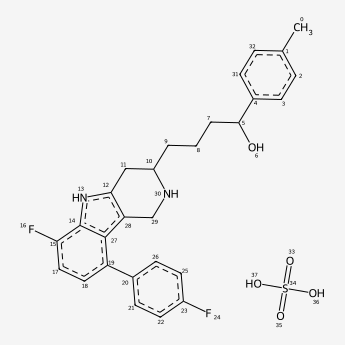 Cc1ccc(C(O)CCCC2Cc3[nH]c4c(F)ccc(-c5ccc(F)cc5)c4c3CN2)cc1.O=S(=O)(O)O